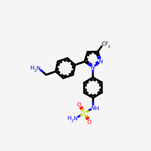 NCc1ccc(-c2cc(C(F)(F)F)nn2-c2ccc(NS(N)(=O)=O)cc2)cc1